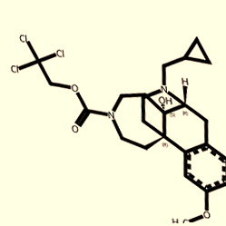 COc1ccc2c(c1)[C@@]13CCN(C(=O)OCC(Cl)(Cl)Cl)CC[C@@]1(O)[C@@H](C2)N(CC1CC1)CC3